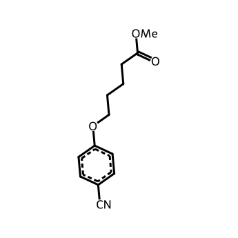 COC(=O)CCCCOc1ccc(C#N)cc1